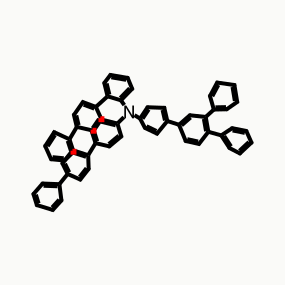 c1ccc(-c2ccc(-c3ccc(N(c4ccc(-c5ccc(-c6ccccc6)c(-c6ccccc6)c5)cc4)c4ccccc4-c4ccc(-c5ccccc5)cc4)cc3)cc2)cc1